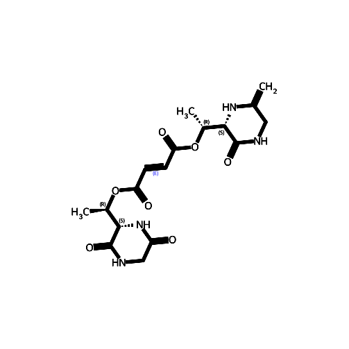 C=C1CNC(=O)[C@H]([C@@H](C)OC(=O)/C=C/C(=O)O[C@H](C)[C@@H]2NC(=O)CNC2=O)N1